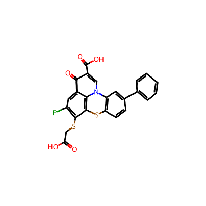 O=C(O)CSc1c(F)cc2c(=O)c(C(=O)O)cn3c2c1Sc1ccc(-c2ccccc2)cc1-3